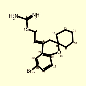 N=C(N)SC/C=C1\CC2(CCCCC2)Oc2ccc(Br)cc21